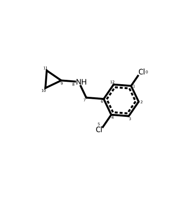 Clc1ccc(Cl)c(CNC2CC2)c1